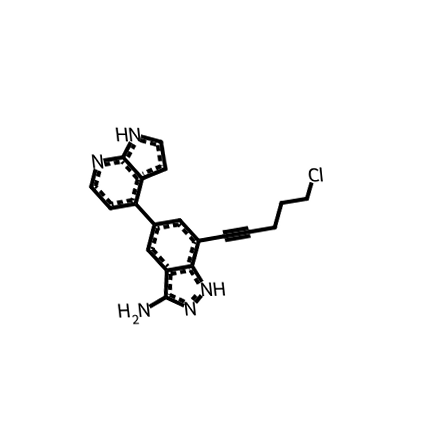 Nc1n[nH]c2c(C#CCCCCl)cc(-c3ccnc4[nH]ccc34)cc12